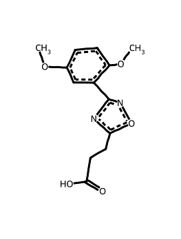 COc1ccc(OC)c(-c2noc(CCC(=O)O)n2)c1